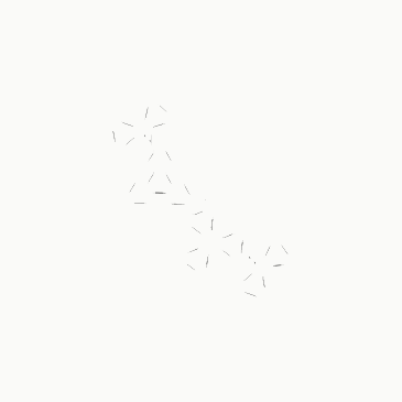 c1ccc2c(c1)c1cc(-n3c4ccccc4c4ccccc43)ccc1c1cc3sc4cc5c6ccc(-n7c8ccccc8c8ccccc87)cc6c6ccccc6c5cc4c3cc21